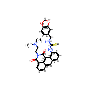 CN(C)CCN1C(=O)c2cccc3cc4cccc(NC(=S)NCc5ccc6c(c5)OCO6)c4c(c23)C1=O